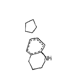 C1CCCC1.c1ccc2c(c1)CCCN2